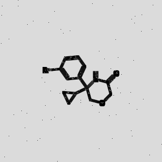 O=C1COCC(c2cccc(Br)c2)(C2CC2)N1